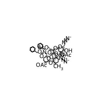 CC(=O)OC[C@H]1O[C@@H](O[C@H]2[C@H](O[C@H]3O[C@H](CN(Cc4ccccc4)C(=O)OCc4ccccc4)CC[C@H]3OC(C)=O)[C@@H](C)CC(N=[N+]=[N-])[C@@H]2OC(C)=O)[C@H](OC(C)=O)[C@@H]1O[C@@H]1C[C@@H](OC(C)=O)[C@H](O)[C@H](CN=[N+]=[N-])O1